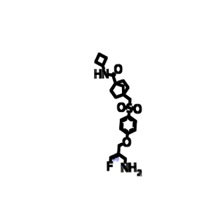 NC/C(=C\F)COc1ccc(S(=O)(=O)CC23CCC(C(=O)NC4CCC4)(CC2)C3)cc1